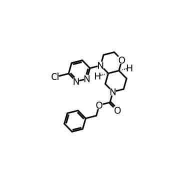 O=C(OCc1ccccc1)N1CC[C@@H]2OCCN(c3ccc(Cl)nn3)[C@@H]2C1